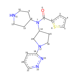 O=C(c1cccs1)N(C1CCNCC1)C1CCN(c2cccnn2)C1